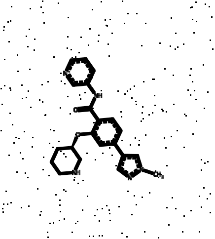 Cn1cc(-c2ccc(C(=O)Nc3cccnc3)c(O[C@@H]3CCCNC3)c2)cn1